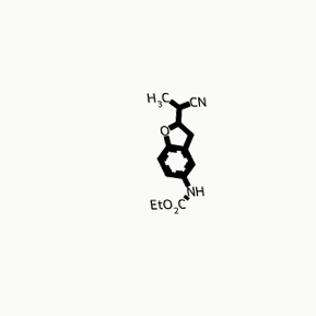 CCOC(=O)Nc1ccc2c(c1)CC(C(C)C#N)O2